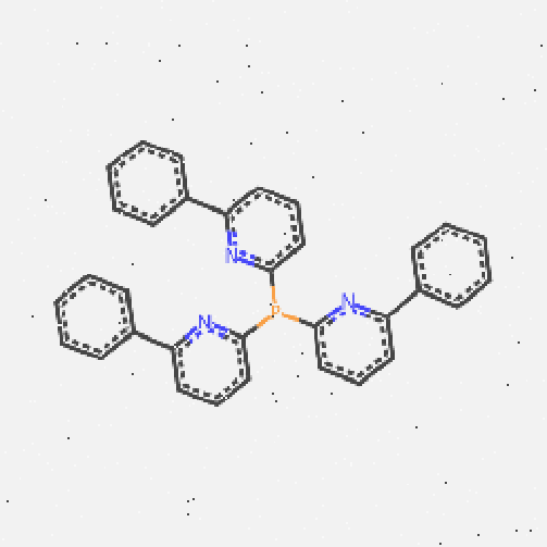 c1ccc(-c2cccc(P(c3cccc(-c4ccccc4)n3)c3cccc(-c4ccccc4)n3)n2)cc1